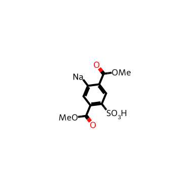 COC(=O)c1cc(S(=O)(=O)O)c(C(=O)OC)c[c]1[Na]